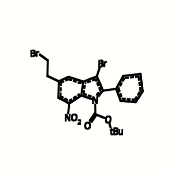 CC(C)(C)OC(=O)n1c(-c2ccccc2)c(Br)c2cc(CCBr)cc([N+](=O)[O-])c21